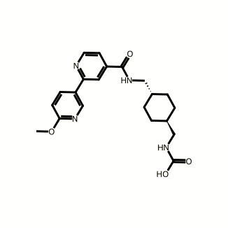 COc1ccc(-c2cc(C(=O)NC[C@H]3CC[C@H](CNC(=O)O)CC3)ccn2)cn1